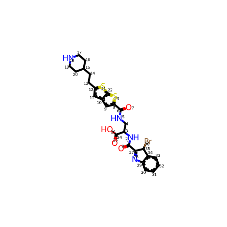 O=C(NC(CNC(=O)c1cc2cc(CCC3CCNCC3)sc2s1)C(=O)O)C1=Nc2ccccc2C1Br